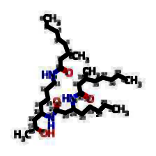 CCCCCC(C)CC(=O)NCCCCC(C[C@@H](C)O)NC(=O)CC(CCCCC)NC(=O)CC(C)CCCCC